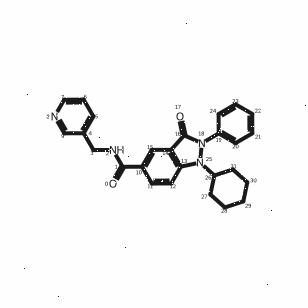 O=C(NCc1cccnc1)c1ccc2c(c1)c(=O)n(-c1ccccc1)n2C1CCCCC1